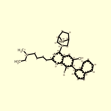 CCN(C)CCCCc1nc(N2CC3CCC(C2)N3)c2cc(Cl)c(-c3cccc4ccccc34)c(F)c2n1